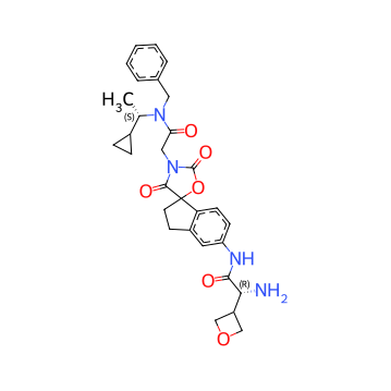 C[C@@H](C1CC1)N(Cc1ccccc1)C(=O)CN1C(=O)OC2(CCc3cc(NC(=O)[C@H](N)C4COC4)ccc32)C1=O